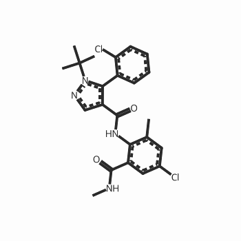 CNC(=O)c1cc(Cl)cc(C)c1NC(=O)c1cnn(C(C)(C)C)c1-c1ccccc1Cl